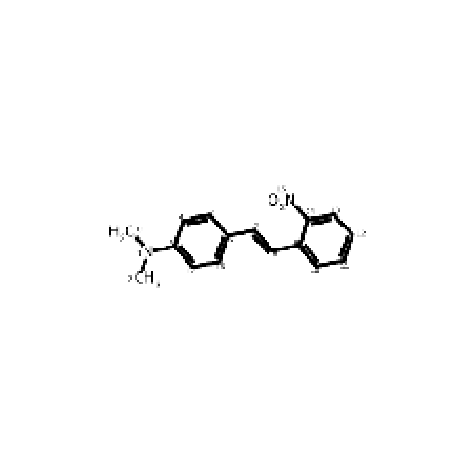 CN(C)c1ccc(C=Cc2ccccc2[N+](=O)[O-])cc1